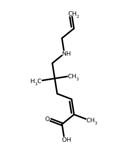 C=CCNCC(C)(C)CC=C(C)C(=O)O